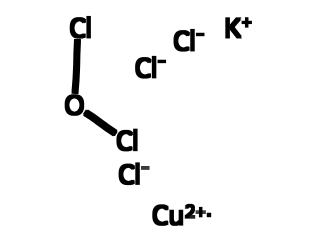 ClOCl.[Cl-].[Cl-].[Cl-].[Cu+2].[K+]